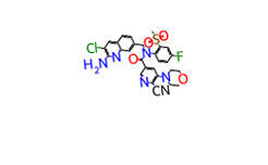 CS(=O)(=O)c1cc(F)ccc1N(Cc1ccc2cc(Cl)c(N)nc2c1)C(=O)c1cnc(C#N)c(N2CCOCC2)c1